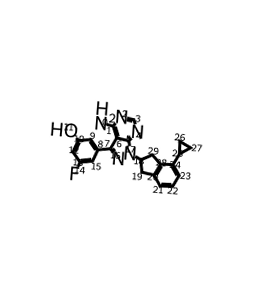 Nc1ncnc2c1c(-c1cc(O)cc(F)c1)nn2C1Cc2cccc(C3CC3)c2C1